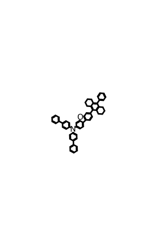 c1ccc(-c2ccc(N(c3ccc(-c4ccccc4)cc3)c3ccc4c(c3)oc3cc(-c5c6c(c(-c7ccccc7)c7c5CCCC7)CCCC6)ccc34)cc2)cc1